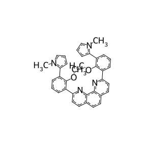 COc1c(-c2ccc3ccc4ccc(-c5cccc(-c6cccn6C)c5OC)nc4c3n2)cccc1-c1cccn1C